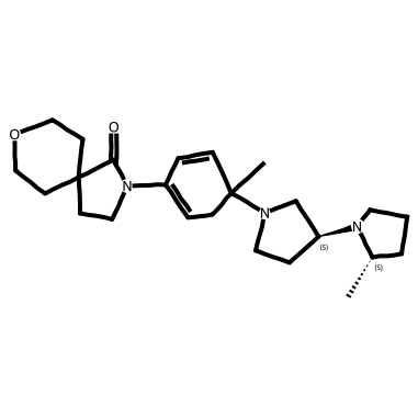 C[C@H]1CCCN1[C@H]1CCN(C2(C)C=CC(N3CCC4(CCOCC4)C3=O)=CC2)C1